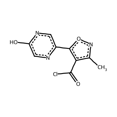 Cc1noc(-c2cnc(O)cn2)c1C(=O)Cl